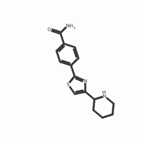 NC(=O)c1ccc(-c2nc(C3CCCCN3)cs2)cc1